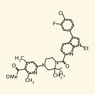 CCn1cc(-c2ccc(Cl)c(F)c2)c2ccc(C(=O)N3CCN(c4cc(C)c(C(=O)OC)c(C)n4)CC3(C)C)nc21